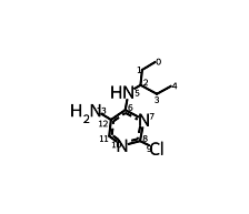 CCC(CC)Nc1nc(Cl)ncc1N